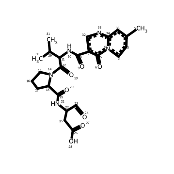 Cc1ccn2c(=O)c(C(=O)NC(C(=O)N3CCCC3C(=O)NC(C=O)CC(=O)O)C(C)C)cnc2c1